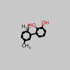 Cc1ccc(C)c(-c2cccc(O)c2O)c1